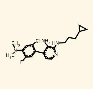 CN(C)c1cc(Cl)c(-c2ccnc(NCCCC3CC3)c2N)cc1F